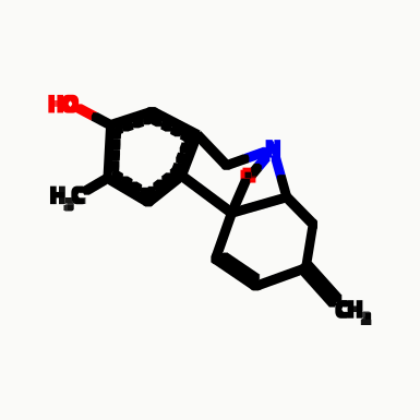 C=C1C=CC23CCN(Cc4cc(O)c(C)cc42)C3C1